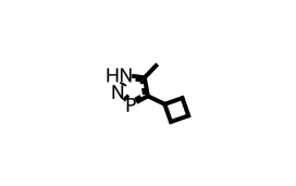 Cc1[nH]npc1C1CCC1